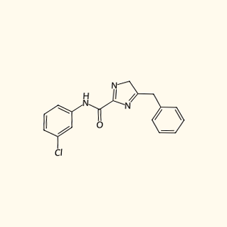 O=C(Nc1cccc(Cl)c1)C1=NCC(Cc2ccccc2)=N1